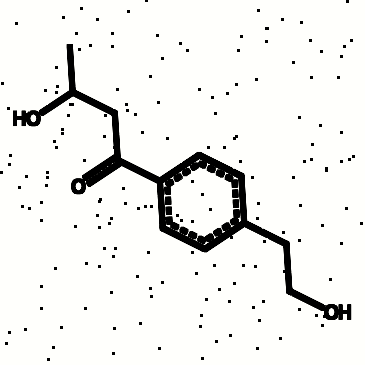 CC(O)CC(=O)c1ccc(CCO)cc1